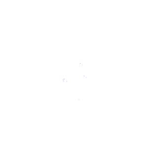 ClN1CNC(Br)=N1